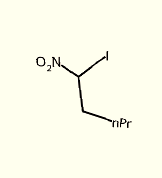 CCCCC(I)[N+](=O)[O-]